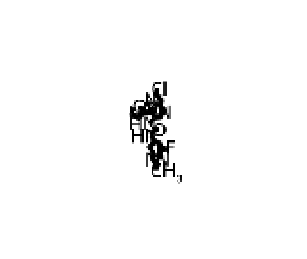 Cc1nc2c(F)cc(NC(=O)Nc3cnc4cc(Cl)nn4c3C3CCCO3)cn2n1